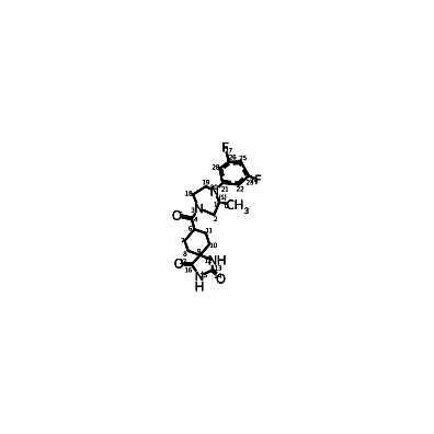 C[C@H]1CN(C(=O)C2CCC3(CC2)NC(=O)NC3=O)CCN1c1cc(F)cc(F)c1